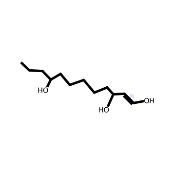 CCCC(O)CCCCCC(O)/C=C/O